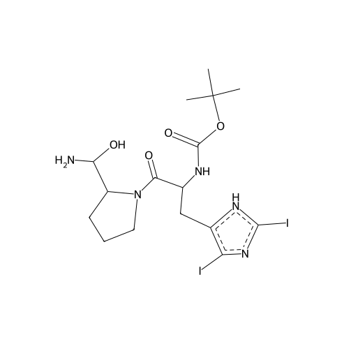 CC(C)(C)OC(=O)NC(Cc1[nH]c(I)nc1I)C(=O)N1CCCC1C(N)O